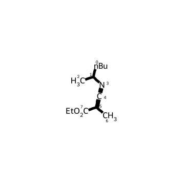 CCCCC(C)N=C=C(C)C(=O)OCC